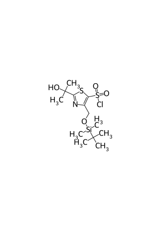 CC(C)(O)c1nc(CO[Si](C)(C)C(C)(C)C)c(S(=O)(=O)Cl)s1